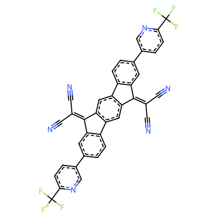 N#CC(C#N)=C1c2cc(-c3ccc(C(F)(F)F)nc3)ccc2-c2cc3c(cc21)-c1ccc(-c2ccc(C(F)(F)F)nc2)cc1C3=C(C#N)C#N